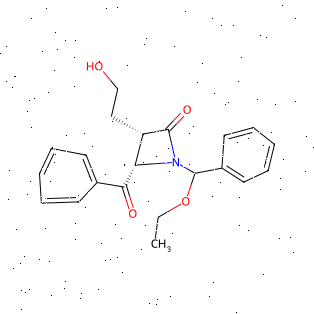 CCOC(c1ccccc1)N1C(=O)[C@@H](CCO)[C@H]1C(=O)c1ccccc1